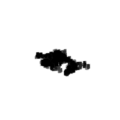 COc1nc(N[C@H](C)c2ccccc2)c2cc(NC(=O)C=CCN3CC(=O)O[C@H](C)C3)ccc2n1